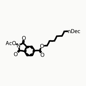 CCCCCCCCCCCCCCCCOC(=O)c1ccc2c(c1)C(=O)N(OC(C)=O)C2=O